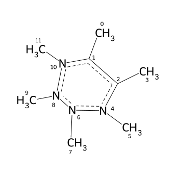 Cc1c(C)n(C)n(C)n(C)n1C